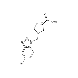 COC(=O)[C@@H]1CCN(Cc2nnc3cc(Br)ccn23)C1